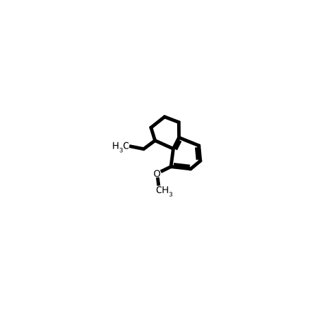 CCC1CCCc2cccc(OC)c21